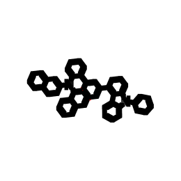 c1ccc(-n2c3ccccc3c3c(-c4cccc(-c5ccccc5N(c5ccc6ccccc6c5)c5cccc6ccccc56)c4)cccc32)cc1